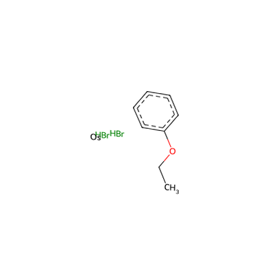 Br.Br.CCOc1ccccc1.[Os]